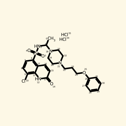 CC(NS(=O)(=O)c1ccc(Cl)c2[nH]c(=O)ccc12)N1CCN(CCCOc2ccccc2)CC1.Cl.Cl